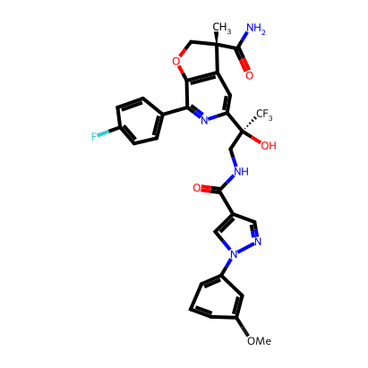 COc1cccc(-n2cc(C(=O)NC[C@](O)(c3cc4c(c(-c5ccc(F)cc5)n3)OC[C@]4(C)C(N)=O)C(F)(F)F)cn2)c1